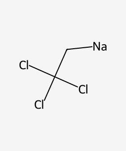 [Na][CH2]C(Cl)(Cl)Cl